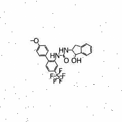 COc1ccc(-c2ccc(S(F)(F)(F)(F)F)cc2NC(=O)NC2Cc3ccccc3C2O)cc1